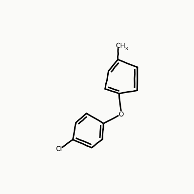 Cc1ccc(Oc2ccc(Cl)cc2)cc1